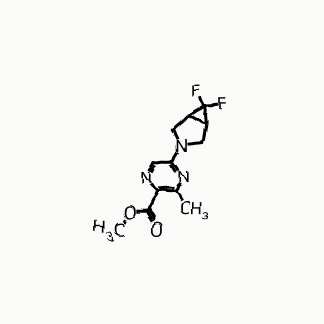 COC(=O)c1ncc(N2CC3C(C2)C3(F)F)nc1C